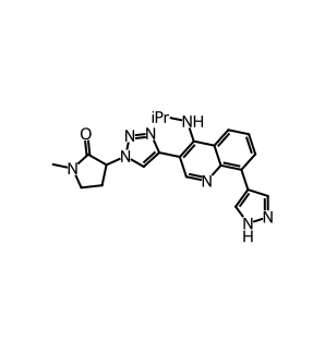 CC(C)Nc1c(-c2cn(C3CCN(C)C3=O)nn2)cnc2c(-c3cn[nH]c3)cccc12